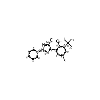 Cc1cc(-c2nn(-c3ccccc3)nc2Cl)c(O)c(C(C)(C)C)c1